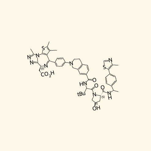 Cc1ncsc1-c1ccc(C(C)NC(=O)[C@@H]2C[C@@H](O)CN2C(=O)C(NC(=O)c2ccc3c(c2)CN(c2ccc(C4=N[C@@H](CC(=O)O)c5nnc(C)n5-c5sc(C)c(C)c54)cc2)CC3)C(C)(C)C)cc1